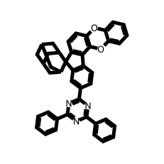 c1ccc(-c2nc(-c3ccccc3)nc(-c3ccc4c(c3)C3(c5ccc6c(c5-4)Oc4ccccc4O6)C4CC5CC(C4)CC3C5)n2)cc1